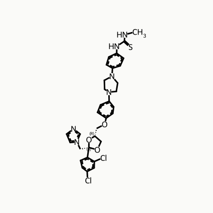 CNC(=S)Nc1ccc(N2CCN(c3ccc(OC[C@@H]4CO[C@@](Cn5ccnc5)(c5ccc(Cl)cc5Cl)O4)cc3)CC2)cc1